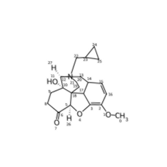 COC1=C2O[C@H]3C(=O)CC[C@@]4(O)[C@H]5CC(C=C1)C2C34CCN5CC1CC1